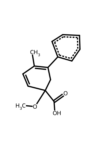 COC1(C(=O)O)C=CC(C)=C(c2ccccc2)C1